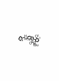 CC(C)(C)OC(=O)n1c(-c2ccccc2C(F)(F)F)cc2ccc(NCc3ccccn3)nc21